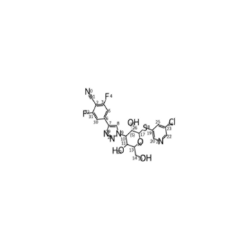 N#Cc1c(F)cc(-c2cn(C3C(O)C(CO)OC(Sc4cncc(Cl)c4)[C@H]3O)nn2)cc1F